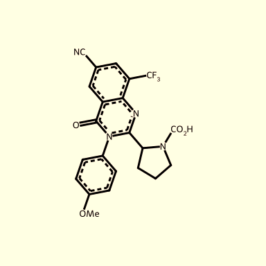 COc1ccc(-n2c(C3CCCN3C(=O)O)nc3c(C(F)(F)F)cc(C#N)cc3c2=O)cc1